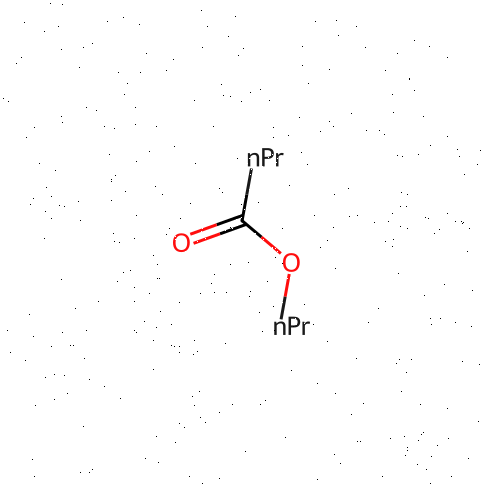 C[CH]CC(=O)OCCC